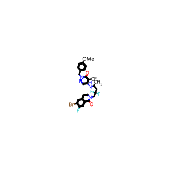 COc1ccc(Cn2ncc(NC(C)CC(F)(F)Cn3ccc4cc(Br)c(F)cc4c3=O)c(C(F)(F)F)c2=O)cc1